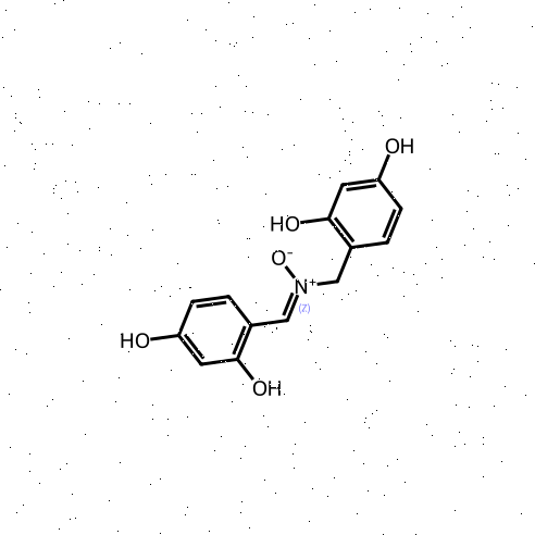 [O-]/[N+](=C\c1ccc(O)cc1O)Cc1ccc(O)cc1O